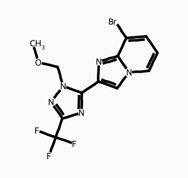 COCn1nc(C(F)(F)F)nc1-c1cn2cccc(Br)c2n1